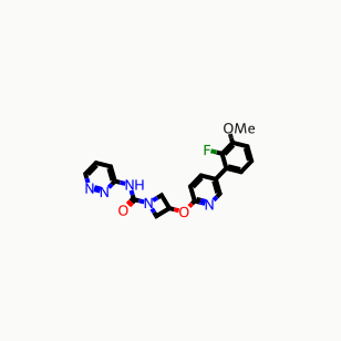 COc1cccc(-c2ccc(OC3CN(C(=O)Nc4cccnn4)C3)nc2)c1F